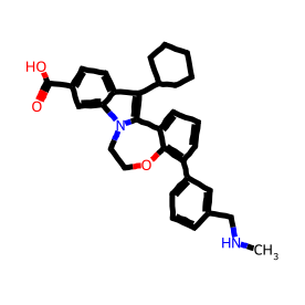 CNCc1cccc(-c2cccc3c2OCCn2c-3c(C3CCCCC3)c3ccc(C(=O)O)cc32)c1